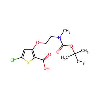 CN(CCOc1cc(Cl)sc1C(=O)O)C(=O)OC(C)(C)C